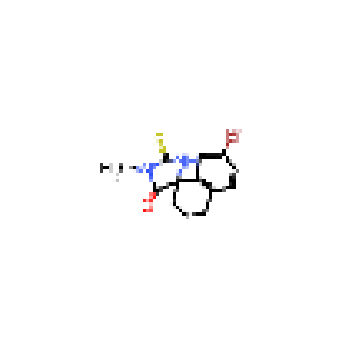 CN1C(=O)C2(CCCc3ccc(Br)cc32)NC1=S